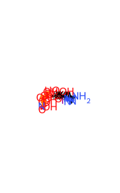 Nc1ncnn2c([C@]3(I)O[C@H](COP(=O)(O)OP(=O)(O)OP(=O)(O)N=O)[C@@H](O)[C@H]3O)ccc12